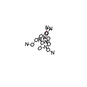 N#Cc1cccc(-c2ccc3c4ccc(-c5cccc(C#N)c5)cc4n(-c4cc(-c5ccccc5C#N)cc(-n5c6cc(-c7cccc(C#N)c7)ccc6c6ccc(-c7cccc(C#N)c7)cc65)c4C#N)c3c2)c1